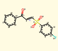 O=C(/C=C/S(=O)(=O)c1ccc(F)cc1)c1ccccc1